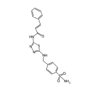 NS(=O)(=O)c1ccc(CNc2nnc(NC(=O)C=Cc3ccccc3)s2)cc1